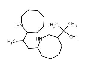 CC(CC1CCCCC(C(C)(C)C)CN1)C1CCCCCCN1